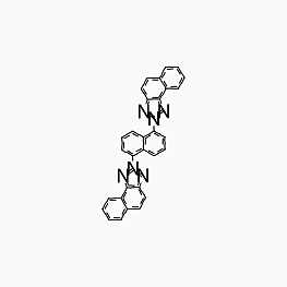 c1ccc2c(c1)ccc1nn(-c3cccc4c(-n5nc6ccc7ccccc7c6n5)cccc34)nc12